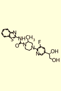 CC1CN(c2ncc([C@@H](O)CO)cc2F)CCN1C(=O)Nc1nc2ccccc2s1